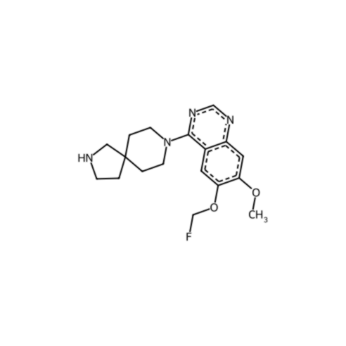 COc1cc2ncnc(N3CCC4(CCNC4)CC3)c2cc1OCF